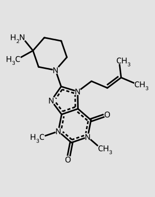 CC(C)=CCn1c(N2CCCC(C)(N)C2)nc2c1c(=O)n(C)c(=O)n2C